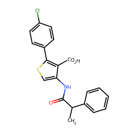 CC(C(=O)Nc1csc(-c2ccc(Cl)cc2)c1C(=O)O)c1ccccc1